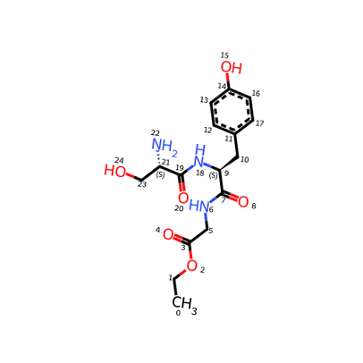 CCOC(=O)CNC(=O)[C@H](Cc1ccc(O)cc1)NC(=O)[C@@H](N)CO